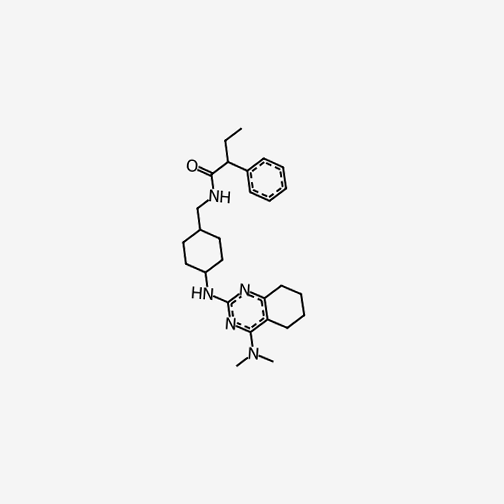 CCC(C(=O)NCC1CCC(Nc2nc3c(c(N(C)C)n2)CCCC3)CC1)c1ccccc1